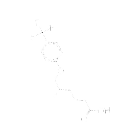 CC(CCCC(=O)O)COc1ccc(C(F)(F)F)cc1